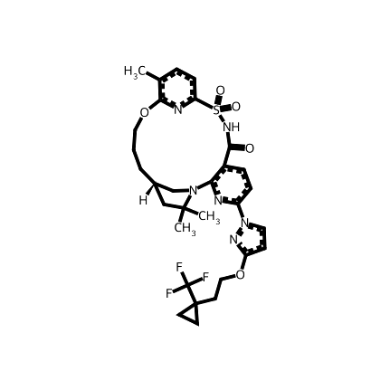 Cc1ccc2nc1OCCC[C@@H]1CN(c3nc(-n4ccc(OCCC5(C(F)(F)F)CC5)n4)ccc3C(=O)NS2(=O)=O)C(C)(C)C1